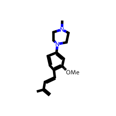 C=C(C)/C=C/c1ccc(N2CCN(C)CC2)cc1OC